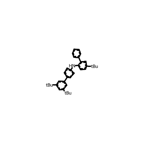 CC(C)(C)c1cc(-c2ccc(Nc3ccc(C(C)(C)C)cc3-c3ccccc3)cc2)cc(C(C)(C)C)c1